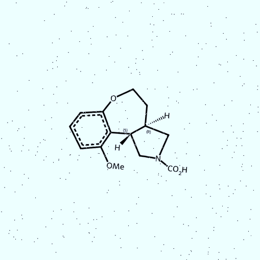 COc1cccc2c1[C@H]1CN(C(=O)O)C[C@@H]1CCO2